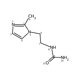 Cc1nccn1CCNC(N)=O